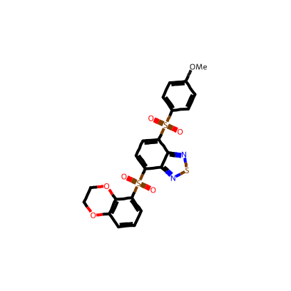 COc1ccc(S(=O)(=O)c2ccc(S(=O)(=O)c3cccc4c3OCCO4)c3nsnc23)cc1